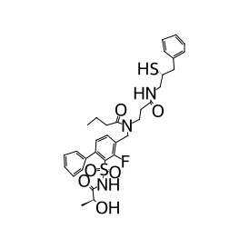 CCCC(=O)N(CCC(=O)NC[C@H](S)Cc1ccccc1)Cc1ccc(-c2ccccc2)c(S(=O)(=O)NC(=O)[C@H](C)O)c1F